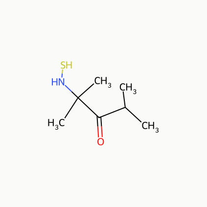 CC(C)C(=O)C(C)(C)NS